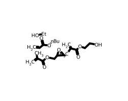 C=C(C)C(=O)OCC1CO1.C=C(C)C(=O)OCCO.C=CC(=O)OCCCC.CCO